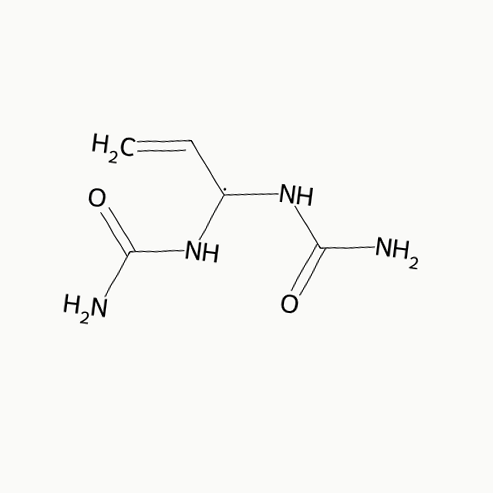 C=C[C](NC(N)=O)NC(N)=O